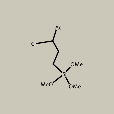 CO[Si](CCC(Cl)C(C)=O)(OC)OC